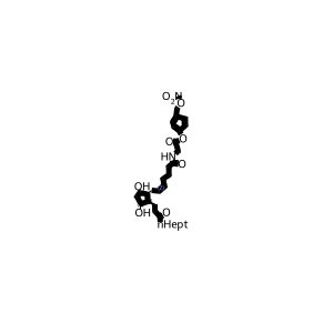 CCCCCCCC(=O)CC[C@@H]1[C@@H](C/C=C\CCCC(=O)NCC(=O)Oc2ccc(CO[N+](=O)[O-])cc2)[C@@H](O)C[C@H]1O